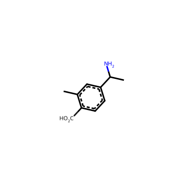 Cc1cc(C(C)N)ccc1C(=O)O